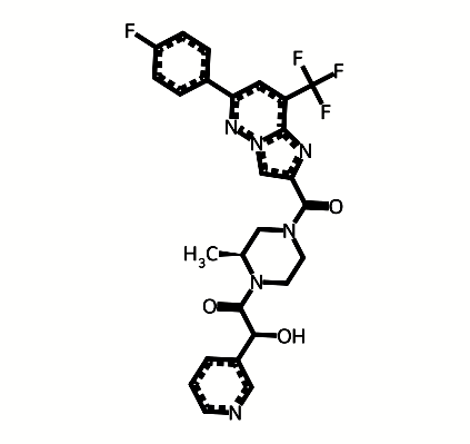 C[C@H]1CN(C(=O)c2cn3nc(-c4ccc(F)cc4)cc(C(F)(F)F)c3n2)CCN1C(=O)C(O)c1cccnc1